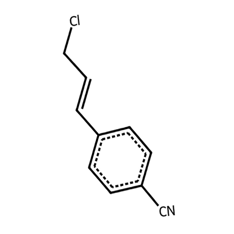 N#Cc1ccc(C=CCCl)cc1